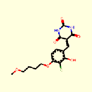 COCCCCOc1ccc(C=C2C(=O)NC(=O)NC2=O)c(O)c1Cl